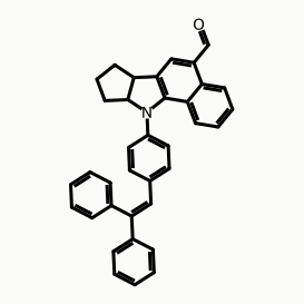 O=Cc1cc2c(c3ccccc13)N(c1ccc(C=C(c3ccccc3)c3ccccc3)cc1)C1CCCC21